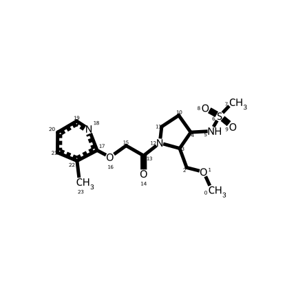 COCC1C(NS(C)(=O)=O)CCN1C(=O)COc1ncccc1C